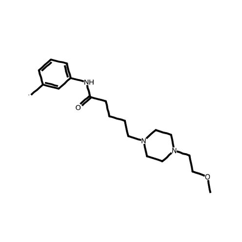 [CH2]c1cccc(NC(=O)CCCCN2CCN(CCOC)CC2)c1